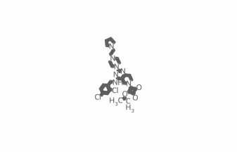 CC(C)Oc1c(N2CCc3nc(N4CCN(CCN5CCCC5)CC4)nc(NCc4ccc(Cl)cc4Cl)c3C2)c(=O)c1=O